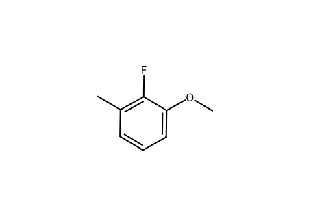 COc1cccc(C)c1F